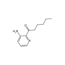 CCCCCC(=O)c1ncccc1N